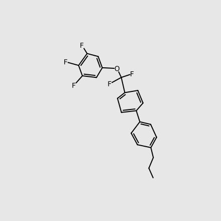 CCCc1ccc(-c2ccc(C(F)(F)Oc3cc(F)c(F)c(F)c3)cc2)cc1